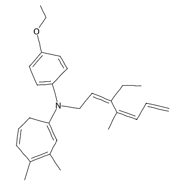 C=C/C=C(C)\C(=C/CN(C1=CC(C)=C(C)C=CC1)c1ccc(OCC)cc1)CC